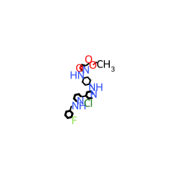 CCOC(=O)c1coc(N[C@H]2CC[C@H](Nc3cc(-c4cccc(NCc5cccc(F)c5)n4)c(Cl)cn3)CC2)n1